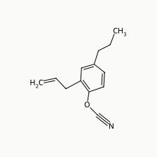 C=CCc1cc(CCC)ccc1OC#N